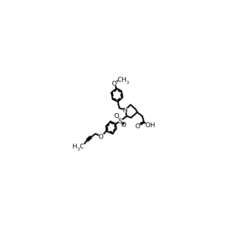 CC#CCOc1ccc(S(=O)(=O)C2CC(CC(=O)O)CCN2Cc2ccc(OC)cc2)cc1